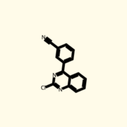 N#Cc1cccc(-c2nc(Cl)nc3ccccc23)c1